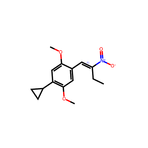 CC/C(=C\c1cc(OC)c(C2CC2)cc1OC)[N+](=O)[O-]